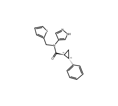 O=C([C@H]1C[C@@H]1c1ccccc1)N(Cc1cccs1)c1cn[nH]c1